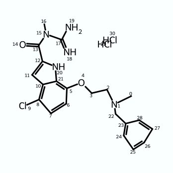 CN(CCOc1ccc(Cl)c2cc(C(=O)N(C)C(=N)N)[nH]c12)Cc1ccccc1.Cl.Cl